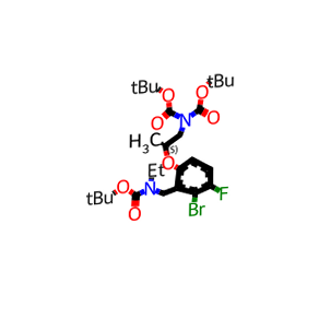 CCN(Cc1c(O[C@@H](C)CN(C(=O)OC(C)(C)C)C(=O)OC(C)(C)C)ccc(F)c1Br)C(=O)OC(C)(C)C